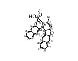 COC1(O)C2c3cc4ccccc4cc3C3=[N+](C(C)=NC4Oc5cc6ccccc6cc5C34)C21